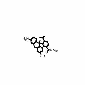 C=C(C)c1ccc(C(=O)NC)cc1C1(C)c2ccc(N)cc2Cc2cc(O)ccc21